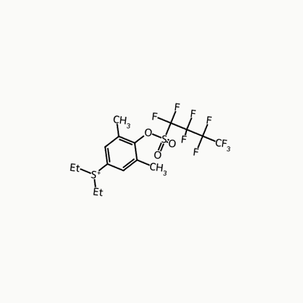 CC[S+](CC)c1cc(C)c(OS(=O)(=O)C(F)(F)C(F)(F)C(F)(F)C(F)(F)F)c(C)c1